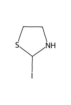 IC1NCCS1